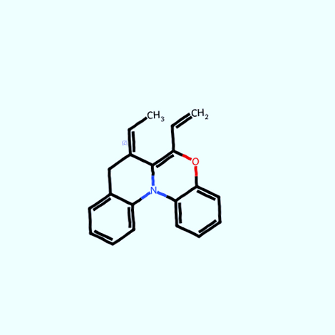 C=CC1=C2/C(=C\C)Cc3ccccc3N2c2ccccc2O1